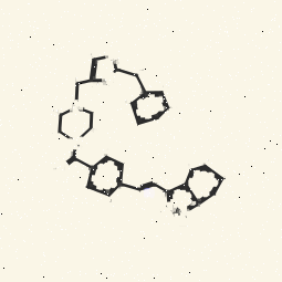 O=C(c1ccc(/C=C/c2n[nH]c3ccccc23)cc1)N1CCN(CC2=COC(Cc3ccccc3)O2)CC1